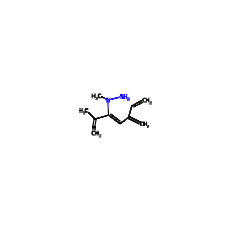 C=CC(=C)/C=C(/C(=C)C)N(C)N